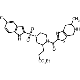 CCOC(=O)CCC1CN(S(=O)(=O)c2cc3cc(Cl)ccc3[nH]2)CCN1C(=O)c1nc2c(s1)CNC(C)C2